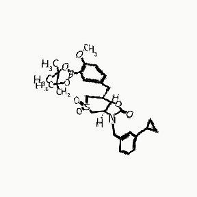 COc1ccc(C[C@@H]2CS(=O)(=O)C[C@H]3[C@H]2OC(=O)N3Cc2cccc(C3CC3)c2)cc1B1OC(C)(C)C(C)(C)O1